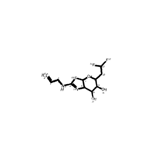 C=CCNC1=NC2C(OC(CC(F)F)C(O)C2O)S1